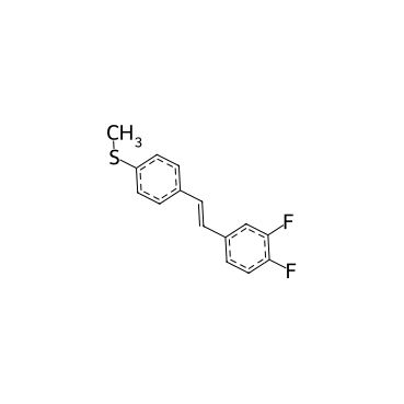 CSc1ccc(C=Cc2ccc(F)c(F)c2)cc1